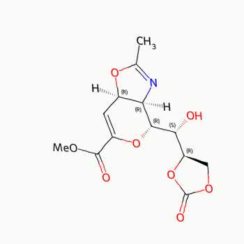 COC(=O)C1=C[C@H]2OC(C)=N[C@H]2[C@H]([C@H](O)[C@H]2COC(=O)O2)O1